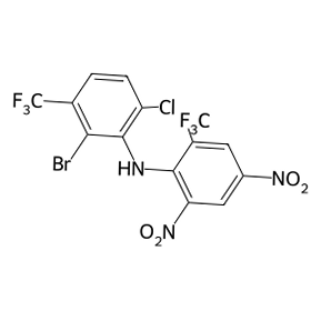 O=[N+]([O-])c1cc([N+](=O)[O-])c(Nc2c(Cl)ccc(C(F)(F)F)c2Br)c(C(F)(F)F)c1